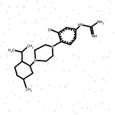 CC1CCC(C(C)C)C(N2CCN(c3ccc(NC(=N)N)cc3Cl)CC2)C1